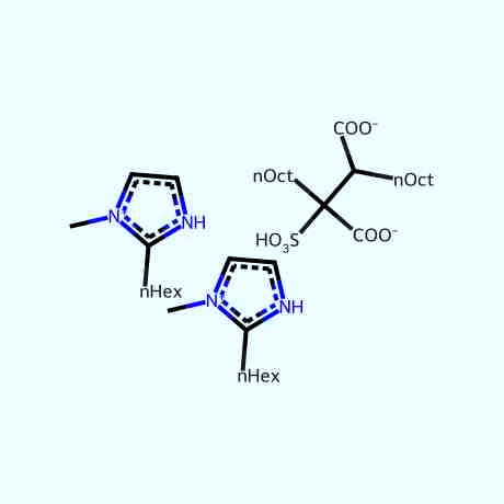 CCCCCCCCC(C(=O)[O-])C(CCCCCCCC)(C(=O)[O-])S(=O)(=O)O.CCCCCCc1[nH]cc[n+]1C.CCCCCCc1[nH]cc[n+]1C